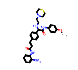 Nc1ccccc1NC(=O)C=Cc1ccc(C(NCCN2CCSCC2)C(=O)Nc2ccc(OC(F)(F)F)cc2)cc1